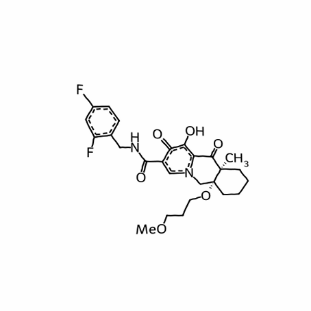 COCCCO[C@@]12CCCC[C@]1(C)C(=O)c1c(O)c(=O)c(C(=O)NCc3ccc(F)cc3F)cn1C2